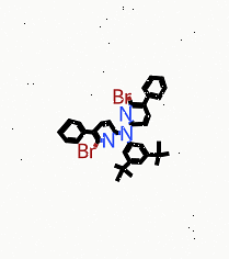 CC(C)(C)c1cc(N(c2ccc(-c3ccccc3)c(Br)n2)c2ccc(-c3ccccc3)c(Br)n2)cc(C(C)(C)C)c1